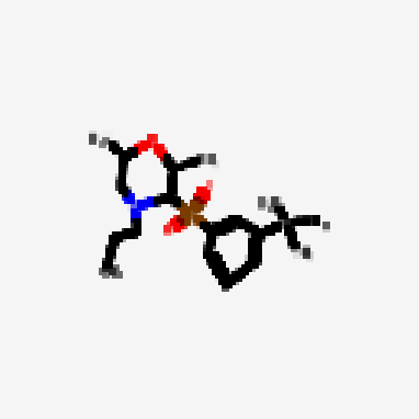 CCCN1C[C@@H](C)O[C@@H](C)C1S(=O)(=O)c1ccc[c]([Sn]([CH3])([CH3])[CH3])c1